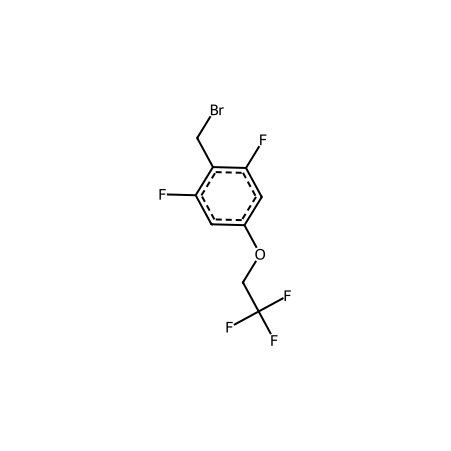 Fc1cc(OCC(F)(F)F)cc(F)c1CBr